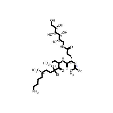 CCC(C)(CC[C@@H](CCCCN)C(=O)O)C(=O)C(CC(=O)O)NC(=O)[C@H](CCC(=O)NC[C@H](O)[C@@H](O)[C@H](O)[C@H](O)CO)/N=C(\C)C(C)=O